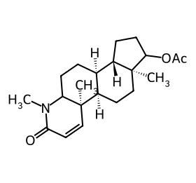 CC(=O)OC1CC[C@H]2[C@@H]3CCC4N(C)C(=O)C=C[C@]4(C)[C@@H]3CC[C@]12C